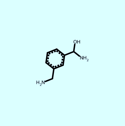 NCc1cccc(C(N)O)c1